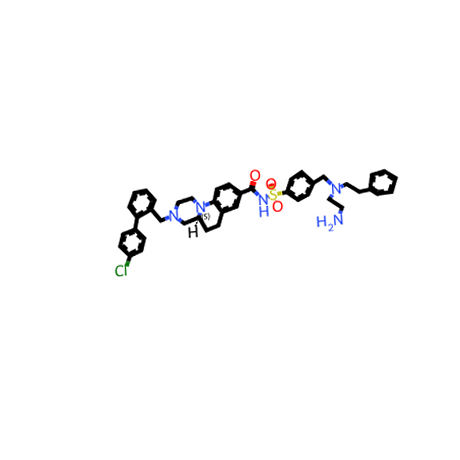 NCCN(CCc1ccccc1)Cc1ccc(S(=O)(=O)NC(=O)c2ccc3c(c2)CC[C@H]2CN(Cc4ccccc4-c4ccc(Cl)cc4)CCN32)cc1